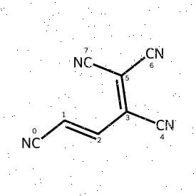 N#CC=CC(C#N)=C(C#N)C#N